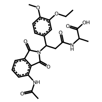 CCOc1cc(C(CC(=O)NC(C)C(=O)O)N2C(=O)c3cccc(NC(C)=O)c3C2=O)ccc1OC